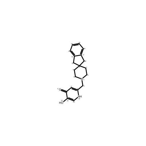 O=c1cc(CN2CCC3(CC2)Cc2ccccc2C3)[nH]cc1O